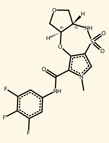 Cn1cc2c(c1C(=O)Nc1cc(F)c(F)c(F)c1)O[C@H]1COC[C@@H]1NS2(=O)=O